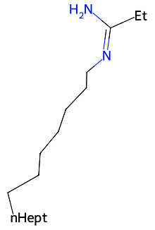 CCCCCCCCCCCCCCN=C(N)CC